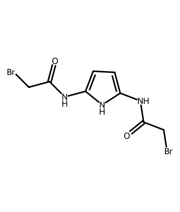 O=C(CBr)Nc1ccc(NC(=O)CBr)[nH]1